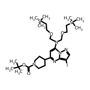 CC(C)(C)OC(=O)N1CCC(c2cc(N(COCC[Si](C)(C)C)COCC[Si](C)(C)C)n3ncc(I)c3n2)CC1